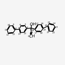 C#CC(O)(c1ccc(-c2ccccc2)cc1)c1ccc(-c2ccccc2)cc1